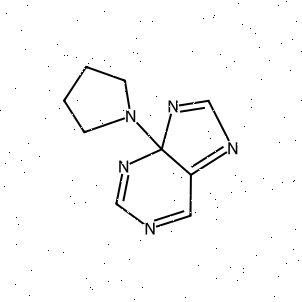 C1=NC=NC2(N3CCCC3)N=CN=C12